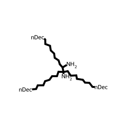 CCCCCCCCCCCCCCCCCCC(N)C(N)(CCCCCCCCCCCCCCCCCC)CCCCCCCCCCCCCCCCCC